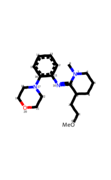 COCCC1CCCN(C)/C1=N\c1ccccc1N1CCOCC1